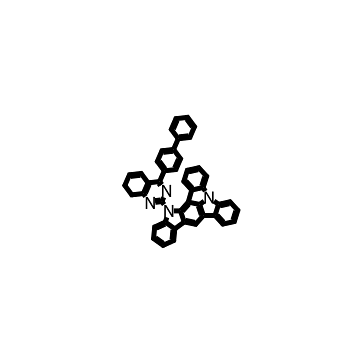 C1=Cc2c(nc(-n3c4ccccc4c4cc5c6ccccc6n6c7ccccc7c(c43)c56)nc2-c2ccc(-c3ccccc3)cc2)CC1